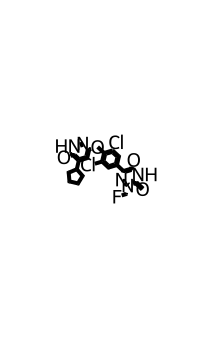 O=c1[nH]nc(Oc2c(Cl)cc(-c3nn(CF)c(=O)[nH]c3=O)cc2Cl)cc1C1CCCC1